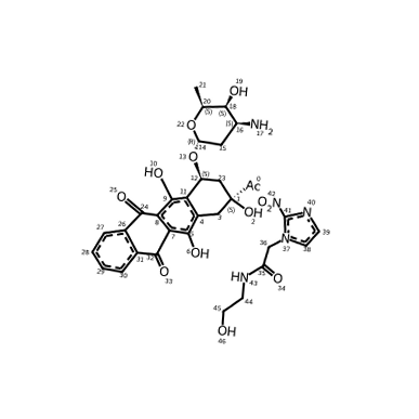 CC(=O)[C@]1(O)Cc2c(O)c3c(c(O)c2[C@@H](O[C@H]2C[C@H](N)[C@H](O)[C@H](C)O2)C1)C(=O)c1ccccc1C3=O.O=C(Cn1ccnc1[N+](=O)[O-])NCCO